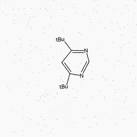 CC(C)(C)c1cc(C(C)(C)C)ncn1